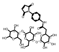 O=C(CC1O[C@@H](O[C@@H]2C(CO)O[C@@H](O[C@@H]3C(CO)OC(O)C(O)[C@H]3O)C(O)[C@H]2O)C(O)[C@@H](O)[C@@H]1O)Nc1ccc(N2C(=O)C=CC2=O)cc1